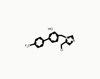 Cl.FC(F)(F)c1ccc(-c2ccc(Cn3cncc3CCl)cc2)cc1